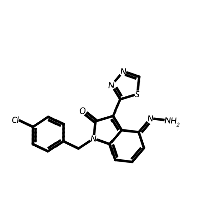 NN=C1C=CC=C2C1=C(c1nncs1)C(=O)N2Cc1ccc(Cl)cc1